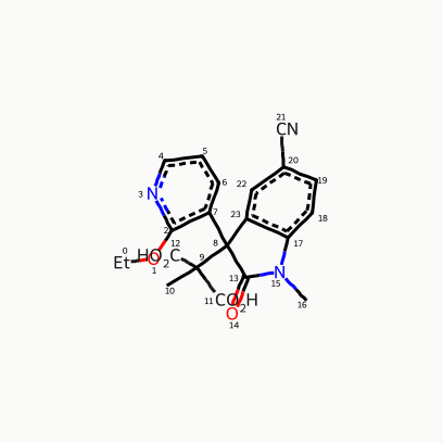 CCOc1ncccc1C1(C(C)(C(=O)O)C(=O)O)C(=O)N(C)c2ccc(C#N)cc21